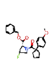 COc1ccc(C2(C(=O)N3C[C@@H](F)C[C@@H]3C(=O)OCc3ccccc3)CCCC2)cc1